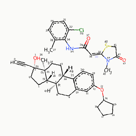 C#C[C@]1(O)CC[C@H]2[C@@H]3CCc4cc(OC5CCCC5)ccc4[C@H]3CC[C@@]21C.Cc1cccc(Cl)c1NC(=O)/C=C1\SCC(=O)N1C